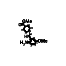 COc1ccc(N)c(NC[C@H]2CC[C@H](C(=O)OC)CC2)c1